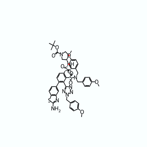 COc1ccc(CN(Cc2ccc(OC)cc2)S(=O)(=O)c2c(S(=O)(=O)N[C@@H]3CCN(C(=O)OC(C)(C)C)C3)ccc(-c3ccc4sc(N)nc4c3)c2-c2nnn(Cc3ccc(OC)cc3)n2)cc1